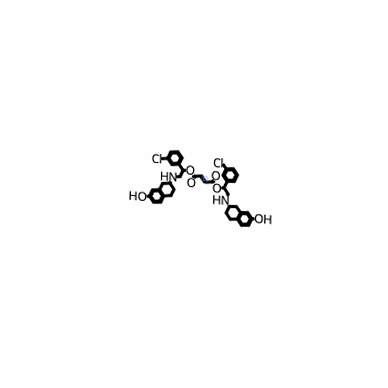 O=C(/C=C/C(=O)OC(CNC1CCc2ccc(O)cc2C1)c1cccc(Cl)c1)OC(CNC1CCc2ccc(O)cc2C1)c1cccc(Cl)c1